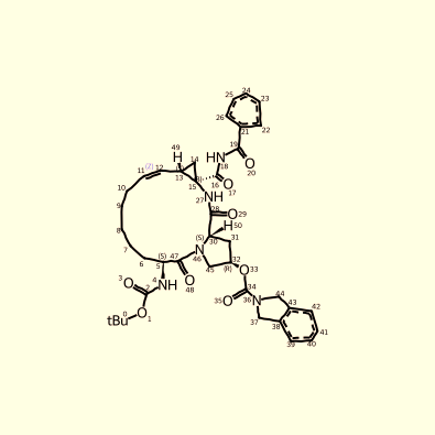 CC(C)(C)OC(=O)N[C@H]1CCCCC/C=C\[C@@H]2C[C@@]2(C(=O)NC(=O)c2ccccc2)NC(=O)[C@@H]2C[C@@H](OC(=O)N3Cc4ccccc4C3)CN2C1=O